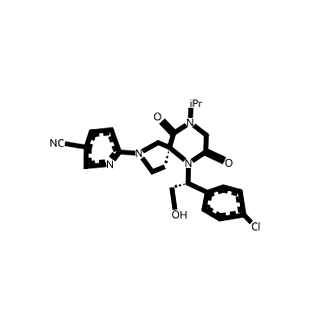 CC(C)N1CC(=O)N([C@@H](CO)c2ccc(Cl)cc2)[C@]2(CCN(c3ccc(C#N)cn3)C2)C1=O